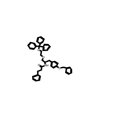 O=C(CCc1ccccc1)NC(COCCOC(c1ccccc1)(c1ccccc1)c1ccccc1)Cc1ccc(OCc2ccccc2)cc1